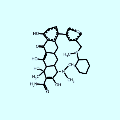 CN(Cc1cccc(-c2ccc(O)c3c2CC2CC4C(C(O)=C2C3=O)C(C)(O)C(C(N)=O)=C(O)[C@H]4N(C)C)c1)C1CCCCC1